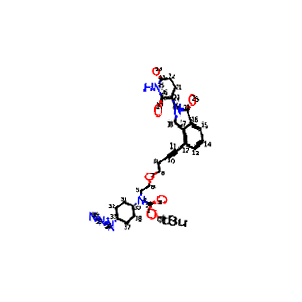 CC(C)(C)OC(=O)N(CCOCCC#Cc1cccc2c1CN(C1CCC(=O)NC1=O)C2=O)[C@H]1CC[C@@H](N=[N+]=[N-])CC1